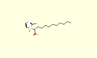 CCCCCCCCCCC(C(=O)O)[N+]1(C)C=CN=C1C